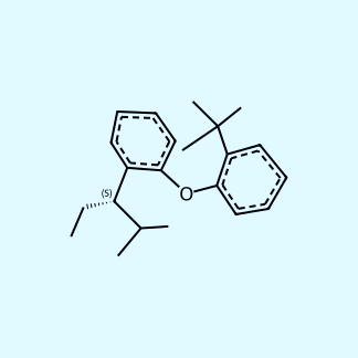 CC[C@H](c1ccccc1Oc1ccccc1C(C)(C)C)C(C)C